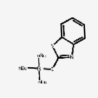 CCCC[N+](CCCC)(CCCC)Sc1nc2ccccc2s1